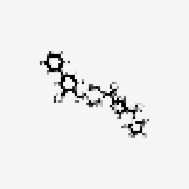 O=C(c1cnn(C(=O)N2CCN(Cc3ccc(-c4ccccc4)cc3Cl)CC2)c1)N1CCCC1